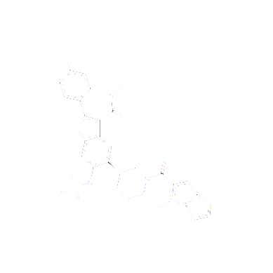 CNC(=O)c1c(-c2ccc(F)cc2)oc2cc(N(C)S(C)(=O)=O)c([C@@H]3CCCN(C(=O)c4cc5sccc5n4C)C3)cc12